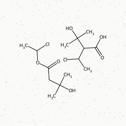 CC(Cl)C(C(=O)O)C(C)(C)O.CC(Cl)OC(=O)CC(C)(C)O